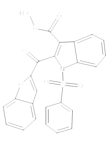 COC(=O)c1c(C(=O)c2cc3ccccc3o2)n(S(=O)(=O)c2ccccc2)c2ccccc12